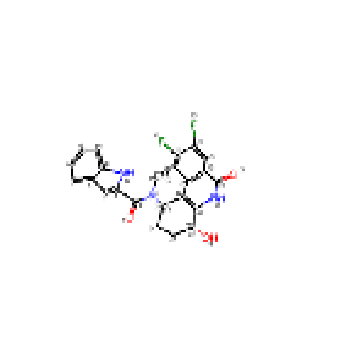 CN(C(=O)c1cc2ccccc2[nH]1)[C@H]1CC[C@@H](O)c2[nH]c(=O)c3cc(F)c(F)cc3c21